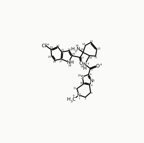 CN1CCc2nc(C(=O)NC3CC=CCC3(N)C(=O)c3cc4cc(Cl)ccc4[nH]3)sc2C1